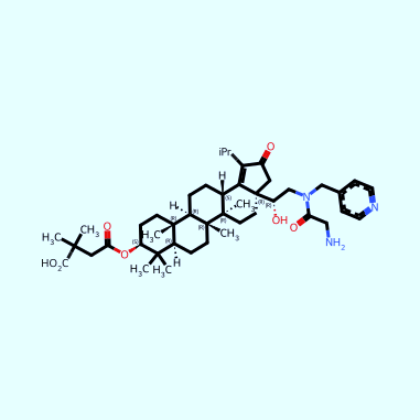 CC(C)C1=C2[C@H]3CC[C@@H]4[C@@]5(C)CC[C@H](OC(=O)CC(C)(C)C(=O)O)C(C)(C)[C@@H]5CC[C@@]4(C)[C@]3(C)CC[C@@]2([C@@H](O)CN(Cc2ccncc2)C(=O)CN)CC1=O